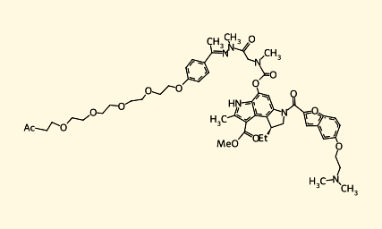 CC[C@@H]1CN(C(=O)c2cc3cc(OCCN(C)C)ccc3o2)c2cc(OC(=O)N(C)CC(=O)N(C)/N=C(\C)c3ccc(OCCOCCOCCOCCOCCC(C)=O)cc3)c3[nH]c(C)c(C(=O)OC)c3c21